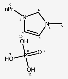 CCCN1C=CN(C)C1.O=P(O)(O)O